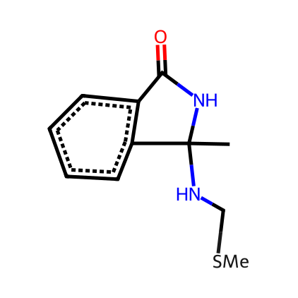 CSCNC1(C)NC(=O)c2ccccc21